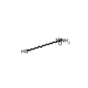 NNC(=O)CCCCCCCCCCCCCCCCCO